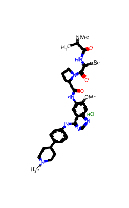 CNC(C)C(=O)NC(C(=O)N1CCCC1C(=O)Nc1cc2c(Nc3ccc(C4CCN(C)CC4)cc3)ncnc2cc1OC)C(C)(C)C.Cl